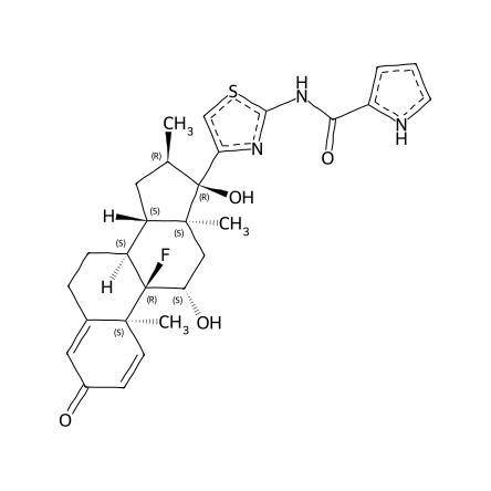 C[C@@H]1C[C@H]2[C@@H]3CCC4=CC(=O)C=C[C@]4(C)[C@@]3(F)[C@@H](O)C[C@]2(C)[C@@]1(O)c1csc(NC(=O)c2ccc[nH]2)n1